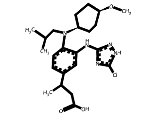 CO[C@H]1CC[C@@H](N(CC(C)C)c2ccc(C(C)CC(=O)O)cc2Nc2n[nH]c(Cl)n2)CC1